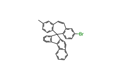 Cc1ccc2c(c1)C=Cc1cc(Br)ccc1C21c2ccccc2-c2c1ccc1ccccc21